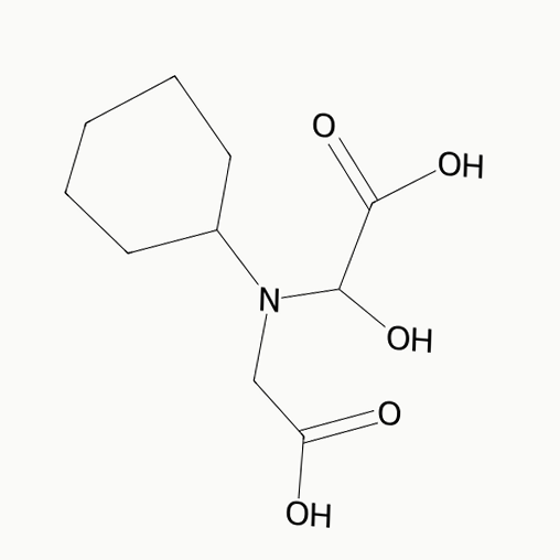 O=C(O)CN(C1CCCCC1)C(O)C(=O)O